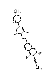 CC1CCC(c2cc(F)c(/C=C/c3ccc4c(F)c(C#CC(F)(F)F)c(F)cc4c3)c(F)c2)OC1